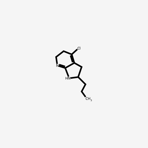 CCCC1CC2=C(Cl)CCN=C2N1